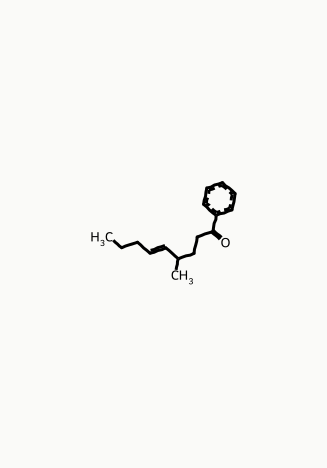 CCCC=CC(C)CCC(=O)c1ccccc1